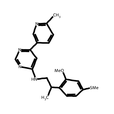 COc1cc(SC)ccc1C(C)CNc1cc(-c2ccc(C)nc2)ncn1